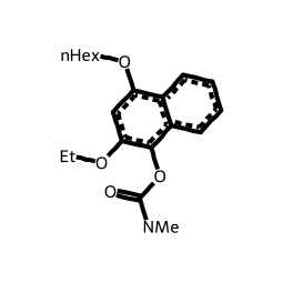 CCCCCCOc1cc(OCC)c(OC(=O)NC)c2ccccc12